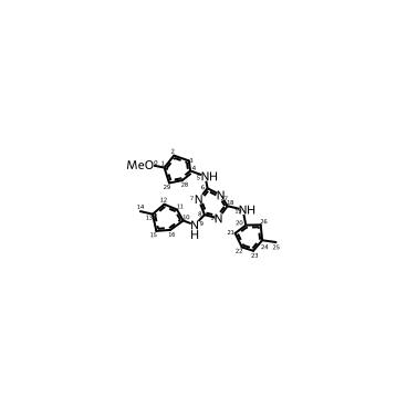 COc1ccc(Nc2nc(Nc3ccc(C)cc3)nc(Nc3cccc(C)c3)n2)cc1